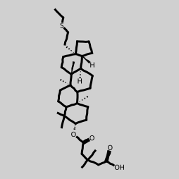 CCSCC[C@]12CCC[C@@H]1[C@H]1CCC3[C@@]4(C)CC[C@H](OC(=O)CC(C)(C)CC(=O)O)C(C)(C)C4CC[C@@]3(C)[C@]1(C)CC2